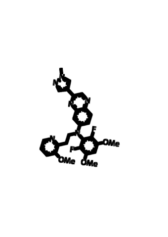 COc1cccnc1CCN(c1ccc2ncc(-c3cnn(C)c3)nc2c1)c1c(F)c(OC)cc(OC)c1F